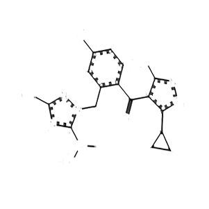 CCOC(=O)c1noc(C2CC2)c1C(=O)c1ccc(Br)cc1Cn1nc(C(C)(C)C)nc1[S+](C)[O-]